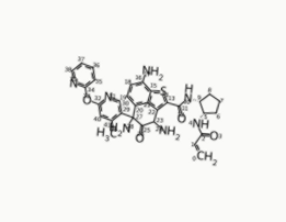 C=CC(=O)N[C@H]1CCC[C@H]1NC(=O)c1sc2c(N)ccc3c2c1C(N)C(=O)C3(N)c1cnc(Oc2ccccn2)cc1C